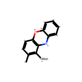 CCCCCCCCCc1c(C)ccc2c1[N]c1ccccc1O2